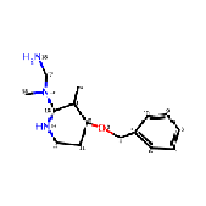 CC1C(OCc2ccccc2)CCNC1N(C)CN